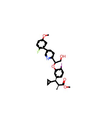 COC(=O)[C@@H](C)[C@H](c1ccc(I)c(OC(CO)c2ccc(-c3cc(OC)ccc3F)cn2)c1)C1CC1